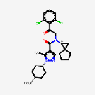 O=C(CN(C(=O)c1cnn([C@H]2CC[C@@H](C(=O)O)CC2)c1C(F)(F)F)[C@H]1CC12CCCC2)c1c(Cl)cccc1Cl